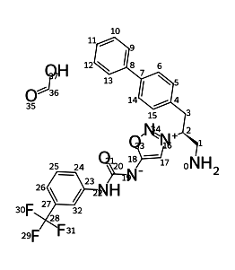 NC[C@H](Cc1ccc(-c2ccccc2)cc1)[n+]1cc([N-]C(=O)Nc2cccc(C(F)(F)F)c2)on1.O=CO